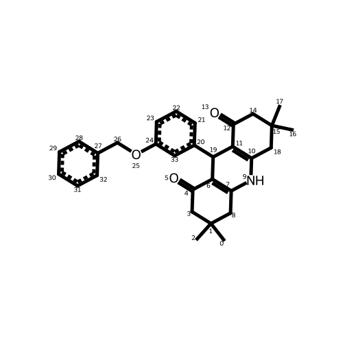 CC1(C)CC(=O)C2=C(C1)NC1=C(C(=O)CC(C)(C)C1)C2c1cccc(OCc2ccccc2)c1